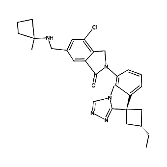 CC[C@H]1C[C@@](c2cccc(N3Cc4c(Cl)cc(CNC5(C)CCC5)cc4C3=O)c2)(c2nncn2C)C1